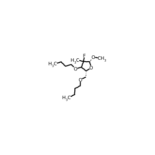 CCCCOC[C@H]1O[C@@H](OC)C(C)(F)C1OCCCC